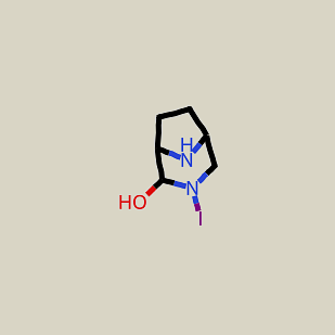 OC1C2CCC(CN1I)N2